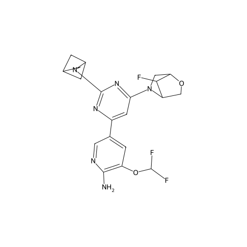 Nc1ncc(-c2cc(N3CC4OCC3C4F)nc(N3CC4CC3C4)n2)cc1OC(F)F